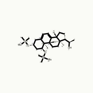 C[C@@H](O)[C@H]1CC[C@H]2C3=CC=C4C[C@@H](O[Si](C)(C)C(C)(C)C)C[C@H](O[Si](C)(C)C(C)(C)C)[C@]4(C)[C@H]3CC[C@]12C